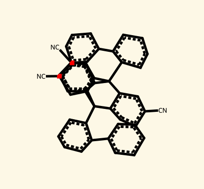 N#Cc1ccc2c(c1)C1(c3ccccc3-c3ccccc3)c3ccc(C#N)cc3C2(c2ccccc2-c2ccccc2)c2cc(C#N)ccc21